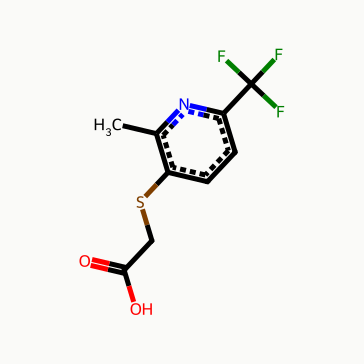 Cc1nc(C(F)(F)F)ccc1SCC(=O)O